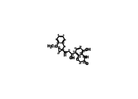 COc1ccccc1CC1(NCC(O)c2ccc(O)c3c2OCC(=O)N3)CC1